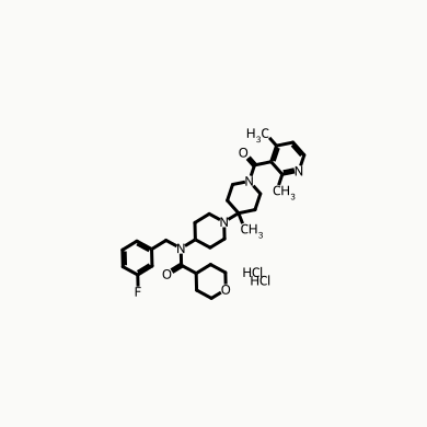 Cc1ccnc(C)c1C(=O)N1CCC(C)(N2CCC(N(Cc3cccc(F)c3)C(=O)C3CCOCC3)CC2)CC1.Cl.Cl